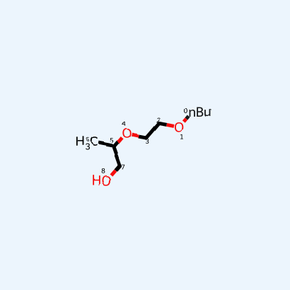 CCCCOCCOC(C)CO